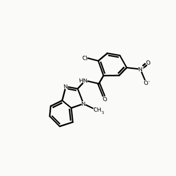 Cn1c(NC(=O)c2cc([N+](=O)[O-])ccc2Cl)nc2ccccc21